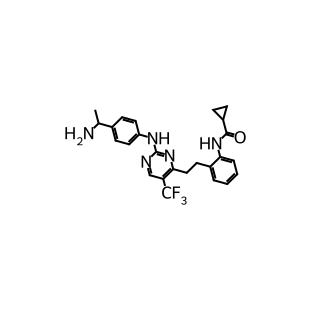 CC(N)c1ccc(Nc2ncc(C(F)(F)F)c(CCc3ccccc3NC(=O)C3CC3)n2)cc1